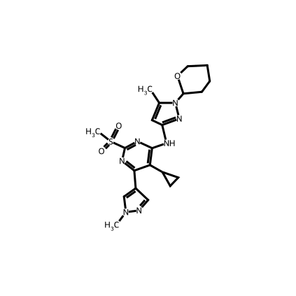 Cc1cc(Nc2nc(S(C)(=O)=O)nc(-c3cnn(C)c3)c2C2CC2)nn1C1CCCCO1